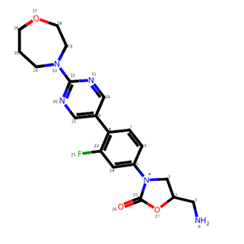 NCC1CN(c2ccc(-c3cnc(N4CCCOCC4)nc3)c(F)c2)C(=O)O1